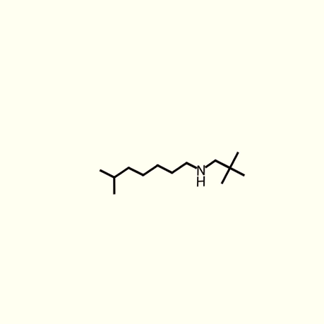 CC(C)CCCCCNCC(C)(C)C